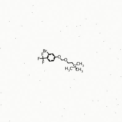 C[Si](C)(C)CCOCOc1ccc(C(F)(F)F)c(Br)c1